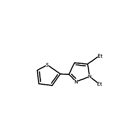 CCc1cc(-c2cccs2)nn1CC